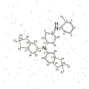 Cc1ccccc1Nc1ccc(N(c2ccc3c(c2)CC(C)(C)C3)c2ccc3c(c2)CC(C)(C)C3)cc1